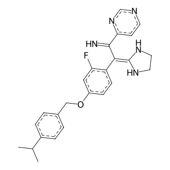 CC(C)c1ccc(COc2ccc(C(C(=N)c3ccncn3)=C3NCCN3)c(F)c2)cc1